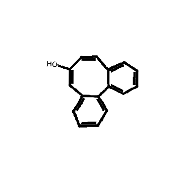 OC1=C/c2ccccc2-c2ccccc2/C=C\1